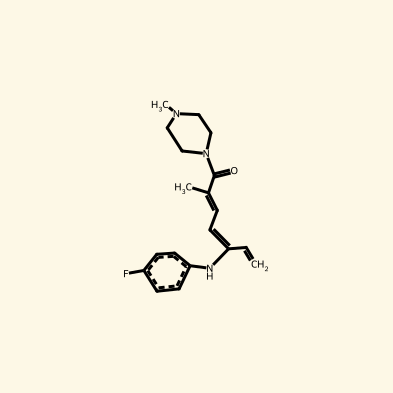 C=C/C(=C\C=C(/C)C(=O)N1CCN(C)CC1)Nc1ccc(F)cc1